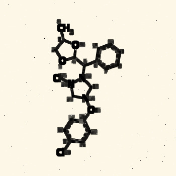 CC1COC(C(c2ccccc2)N2CN(Oc3ccc(Cl)cc3)CN2Cl)O1